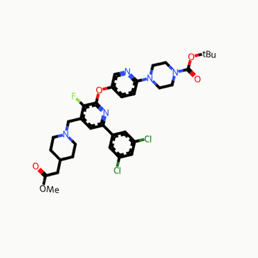 COC(=O)CC1CCN(Cc2cc(-c3cc(Cl)cc(Cl)c3)nc(Oc3ccc(N4CCN(C(=O)OC(C)(C)C)CC4)nc3)c2F)CC1